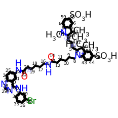 CN1/C(=C/C=C/C2=[N+](CCCCCC(=O)NCCC/C=C/C(=O)Nc3ccc4ncnc(Nc5cccc(Br)c5)c4c3)c3ccc(S(=O)(=O)O)cc3C2(C)C)C(C)(C)c2cc(S(=O)(=O)O)ccc21